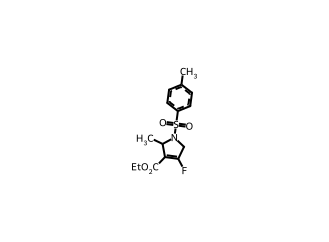 CCOC(=O)C1=C(F)CN(S(=O)(=O)c2ccc(C)cc2)C1C